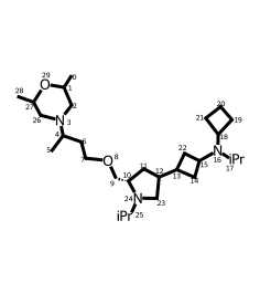 CC1CN(C(C)CCOC[C@@H]2CC(C3CC(N(C(C)C)C4CCC4)C3)CN2C(C)C)CC(C)O1